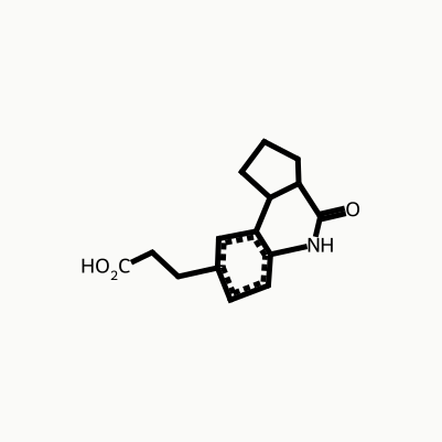 O=C(O)CCc1ccc2c(c1)C1CCCC1C(=O)N2